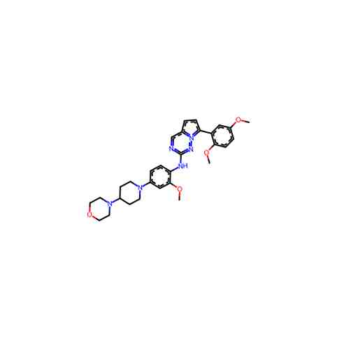 COc1ccc(OC)c(-c2ccc3cnc(Nc4ccc(N5CCC(N6CCOCC6)CC5)cc4OC)nn23)c1